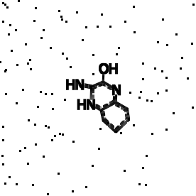 N=c1[nH]c2ccccc2nc1O